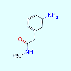 CC(C)(C)NC(=O)Cc1cccc(N)c1